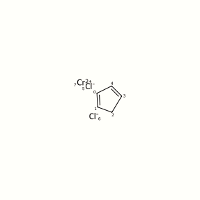 C1=CCC=C1.[Cl-].[Cl-].[Cr+2]